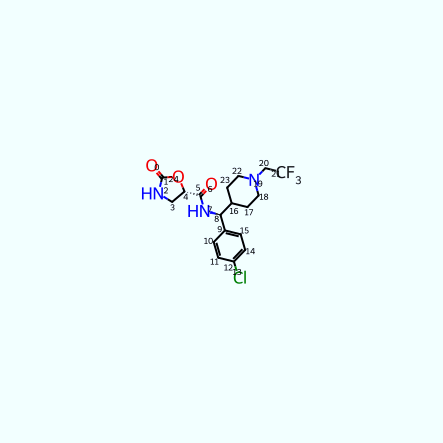 O=C1NC[C@@H](C(=O)N[C@H](c2ccc(Cl)cc2)C2CCN(CC(F)(F)F)CC2)O1